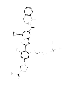 C[C@@H]1c2ccccc2CCN1C(=O)c1cc(C2CC2)n2nc(-c3c(F)cc(N4CCC(C(=O)O)C4)cc3OCCO[Si](C)(C)C(C)(C)C)cc2n1